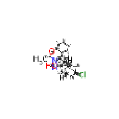 CC(=O)N[C@@H](c1ccccc1)[C@H]1[C@H]2C[C@@H]3C[C@](Cl)(C2)C[C@@]1(O)C3